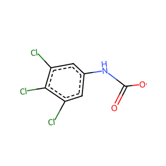 [O]C(=O)Nc1cc(Cl)c(Cl)c(Cl)c1